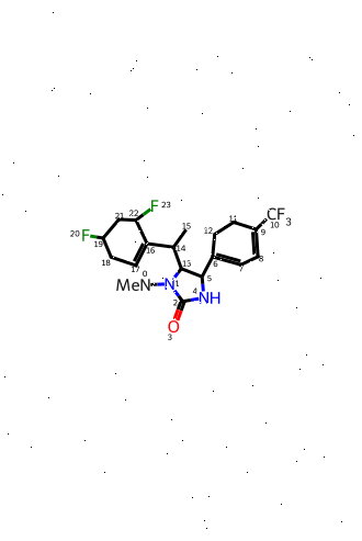 CNN1C(=O)NC(C2=CC=C(C(F)(F)F)CC2)C1C(C)C1=CCC(F)CC1F